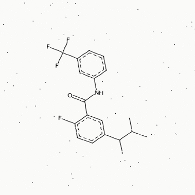 CC(C)C(C)c1ccc(F)c(C(=O)Nc2cccc(C(F)(F)F)c2)c1